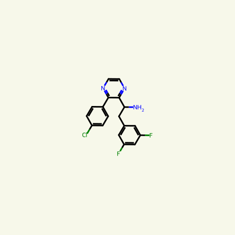 NC(Cc1cc(F)cc(F)c1)c1nccnc1-c1ccc(Cl)cc1